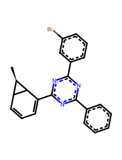 C[C@@H]1C2C=CC=C(c3nc(-c4ccccc4)nc(-c4cccc(Br)c4)n3)C21